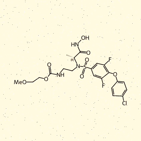 COCCOC(=O)NCCN([C@H](C)C(=O)NO)S(=O)(=O)c1cc(F)c(Oc2ccc(Cl)cc2)c(F)c1